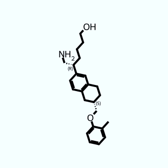 Cc1ccccc1OC[C@H]1CCc2cc([C@H](CN)CCCCO)ccc2C1